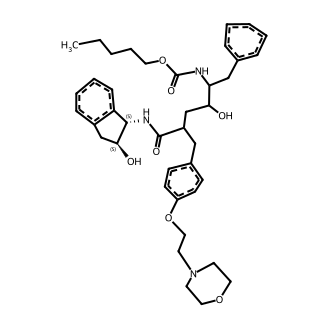 CCCCCOC(=O)NC(Cc1ccccc1)C(O)CC(Cc1ccc(OCCN2CCOCC2)cc1)C(=O)N[C@H]1c2ccccc2C[C@@H]1O